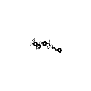 COc1cc2nccc(Oc3ccc(NC(=O)OCCCc4ccccc4)cc3)c2cc1OC